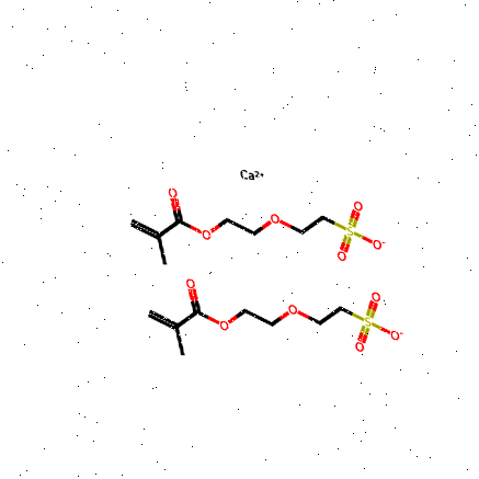 C=C(C)C(=O)OCCOCCS(=O)(=O)[O-].C=C(C)C(=O)OCCOCCS(=O)(=O)[O-].[Ca+2]